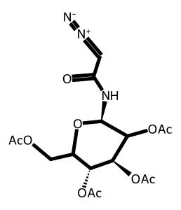 CC(=O)OCC1O[C@@H](NC(=O)C=[N+]=[N-])C(OC(C)=O)[C@@H](OC(C)=O)[C@@H]1OC(C)=O